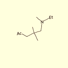 CCN(C)CC(C)(C)CC(C)=O